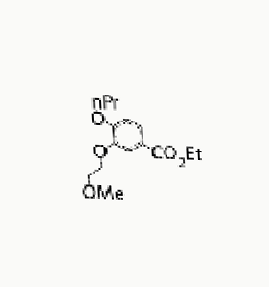 CCCOc1ccc(C(=O)OCC)cc1OCCOC